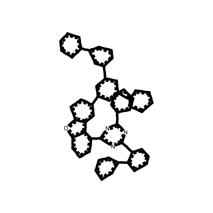 c1ccc(-c2cccc(-c3cc(-c4ccccc4)cc(-c4ccc5oc6cccc(-c7nc(-c8ccccc8)nc(-c8ccccc8-c8ccccc8)n7)c6c5c4)c3)c2)cc1